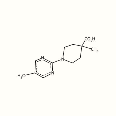 Cc1cnc(N2CCC(C)(C(=O)O)CC2)nc1